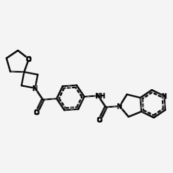 O=C(Nc1ccc(C(=O)N2CC3(CCCO3)C2)cc1)N1Cc2ccncc2C1